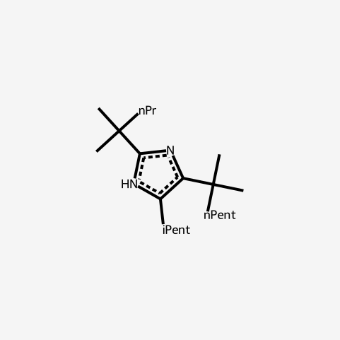 CCCCCC(C)(C)c1nc(C(C)(C)CCC)[nH]c1C(C)CCC